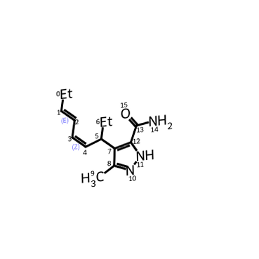 CC/C=C/C=C\C(CC)c1c(C)n[nH]c1C(N)=O